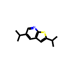 CC(C)c1cnc2sc(C(C)C)cc2c1